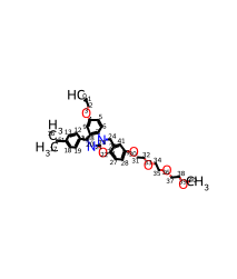 C#CCOc1ccc2c(c1)c(-c1ccc(C(C)C)cc1)nc(=O)n2Cc1cccc(OCCOCCOCCOC)c1